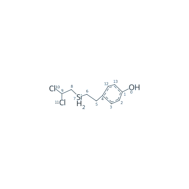 Oc1ccc(CC[SiH2]CC(Cl)Cl)cc1